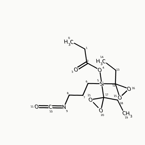 CCC(=O)O[Si](CCCN=C=O)(C1(CC)OO1)C1(CC)OO1